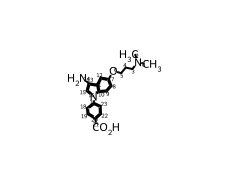 CN(C)CCCOc1ccc2c(c1)c(N)cn2-c1ccc(C(=O)O)cc1